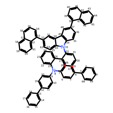 c1ccc(-c2ccc(N(c3ccc(-c4ccccc4)cc3)c3ccccc3-c3ccccc3-n3c4ccc(-c5cccc6ccccc56)cc4c4cc(-c5cccc6ccccc56)ccc43)cc2)cc1